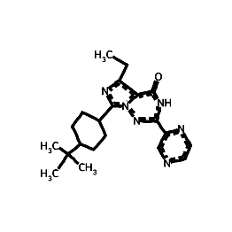 CCc1nc(C2CCC(C(C)(C)C)CC2)n2nc(-c3cnccn3)[nH]c(=O)c12